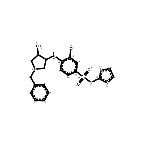 CC1CN(Cc2ccccc2)CC1Nc1ccc(S(=O)(=O)Nc2nccs2)cc1Cl